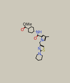 COC(=O)[C@H]1CC[C@H](NC(=O)c2cc(C)cn2Cc2csc(N3CCCCC3)n2)CC1